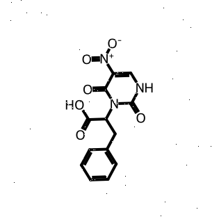 O=C(O)C(Cc1ccccc1)n1c(=O)[nH]cc([N+](=O)[O-])c1=O